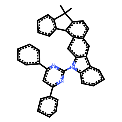 CC1(C)c2ccccc2-c2c1ccc1cc3c4ccccc4n(-c4nc(-c5ccccc5)cc(-c5ccccc5)n4)c3cc21